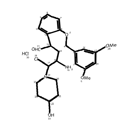 COc1cc(COc2ccccc2C(C=O)CC(N)C(Cl)N2CCC(O)CC2)cc(OC)c1.Cl